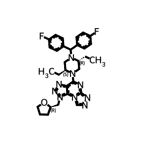 CC[C@H]1CN(C(c2ccc(F)cc2)c2ccc(F)cc2)[C@H](CC)CN1c1nc2nncn2c2c1nnn2C[C@H]1CCCO1